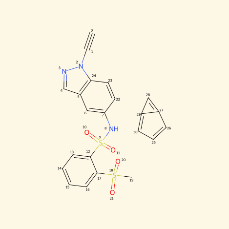 C#Cn1ncc2cc(NS(=O)(=O)c3ccccc3S(C)(=O)=O)ccc21.c1cc2cc-2c1